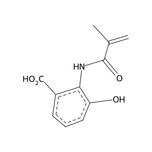 C=C(C)C(=O)Nc1c(O)cccc1C(=O)O